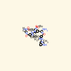 COc1cc(C(=O)N2CC(N)CC(c3cc4c5c(c3)cc(-c3nc6cc(C(=O)N7CC(C)C(NC(=O)OC(C)(C)C)C7)cc(OC)c6n3C)n5C(C)CN4C(=O)OC(C)(C)C)C2)cc2nc(-c3cc4cccc5c4n3C(C)CN5)n(C)c12